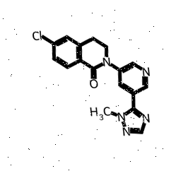 Cn1ncnc1-c1cncc(N2CCc3cc(Cl)ccc3C2=O)c1